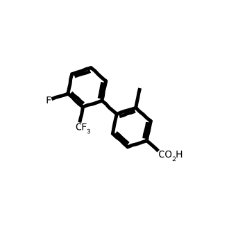 Cc1cc(C(=O)O)ccc1-c1cccc(F)c1C(F)(F)F